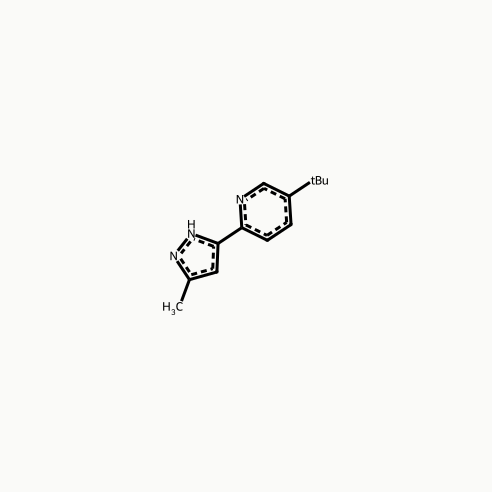 Cc1cc(-c2ccc(C(C)(C)C)cn2)[nH]n1